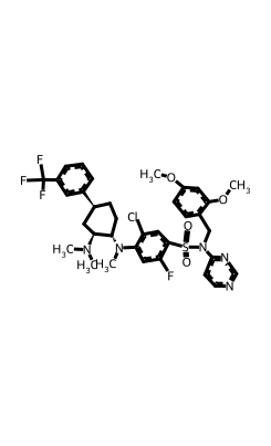 COc1ccc(CN(c2ccncn2)S(=O)(=O)c2cc(Cl)c(N(C)[C@H]3CC[C@H](c4cccc(C(F)(F)F)c4)C[C@@H]3N(C)C)cc2F)c(OC)c1